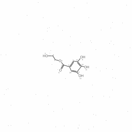 O=C(OCCO)c1cc(O)c(O)c(O)c1